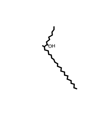 CCCCCCCCCCCCCCCCCCCCC(C)C(O)CCCCCCC